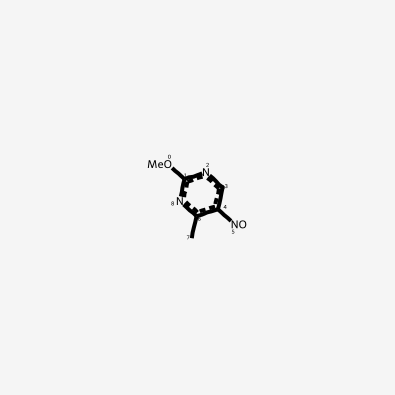 COc1ncc(N=O)c(C)n1